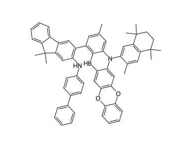 Cc1cc(-c2cc3c(cc2Nc2ccc(-c4ccccc4)cc2)C(C)(C)c2ccccc2-3)c2c(c1)N(c1cc3c(cc1C)C(C)(C)CCC3(C)C)c1cc3c(cc1B2)Oc1ccccc1O3